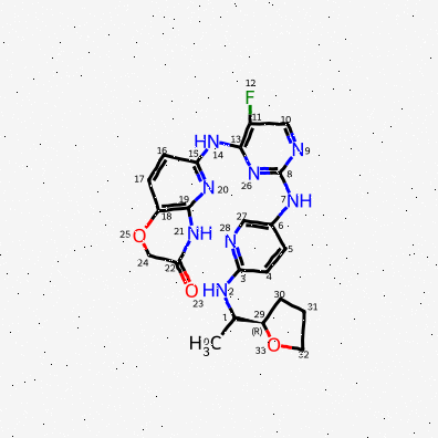 CC(Nc1ccc(Nc2ncc(F)c(Nc3ccc4c(n3)NC(=O)CO4)n2)cn1)[C@H]1CCCO1